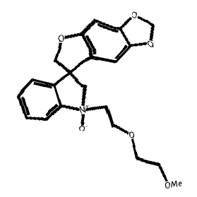 COCCOCC[N+]1([O-])CC2(COc3cc4c(cc32)OCO4)c2ccccc21